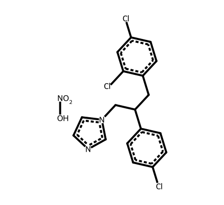 Clc1ccc(C(Cc2ccc(Cl)cc2Cl)Cn2ccnc2)cc1.O=[N+]([O-])O